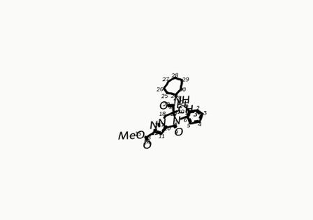 CCc1ccccc1N1C(=O)c2cc(C(=O)OC)nn2CC1(C)C(=O)NC1CCCCCC1